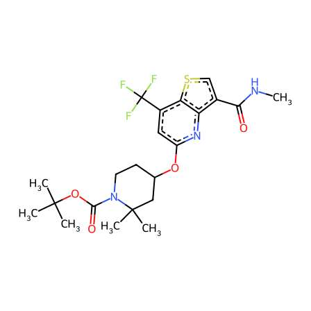 CNC(=O)c1csc2c(C(F)(F)F)cc(OC3CCN(C(=O)OC(C)(C)C)C(C)(C)C3)nc12